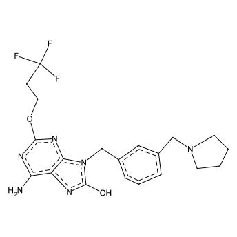 Nc1nc(OCCC(F)(F)F)nc2c1nc(O)n2Cc1cccc(CN2CCCC2)c1